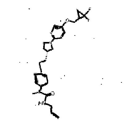 C=CCNC(=O)C(C)c1ccc(CC[C@@H]2CCN(c3ccc(OCC4CC4(F)F)cn3)C2)cc1